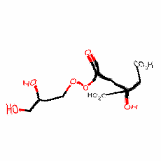 O=C(O)CC(O)(CC(=O)OOCC(O)CO)C(=O)O